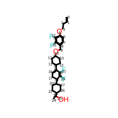 C=CCCOc1ccc(COC2CCC(C3=CCC(C4CCC(C(C)O)CC4)C(F)=C3F)CC2)c(F)c1F